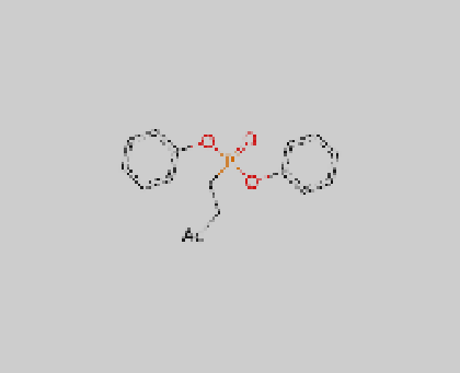 CC(=O)CCP(=O)(Oc1ccccc1)Oc1ccccc1